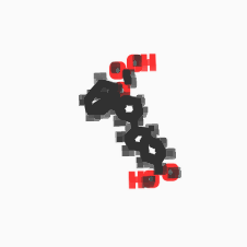 O=C(O)COc1ccc(-c2ccc3cc(C(=O)O)ccc3c2)cc1C12CC3CC(CC(C3)C1)C2